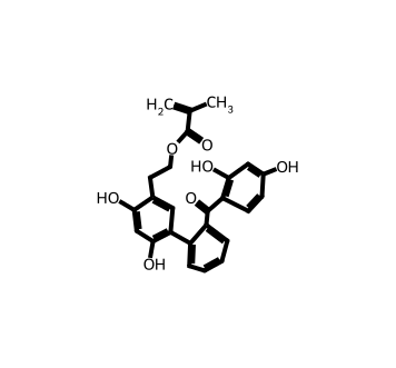 C=C(C)C(=O)OCCc1cc(-c2ccccc2C(=O)c2ccc(O)cc2O)c(O)cc1O